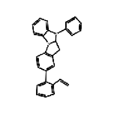 C=Cc1ccccc1-c1ccc2c(c1)CC1N(c3ccccc3)c3ccccc3N21